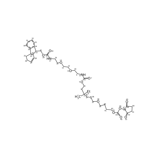 CCC(C)(CCOC(=O)NCCOCCOCCNC(=O)OCC1C2=C(CCC=C2)c2ccccc21)SSCOCCCCOC(=O)ON1C(=O)CCC1=O